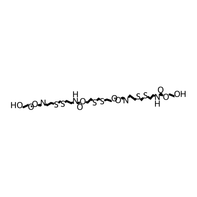 O=C(NCCSCSCC/N=C/OOCCSCSCCOC(=O)NCCSCSCC/N=C/OOCCO)OCCO